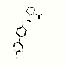 CCCCCCCCc1ncc(-c2ccc(OC(=O)[C@@H]3CCCN3C(=O)CCCCC)cc2)cn1